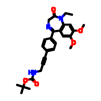 CCN1C(=O)CN=C(c2ccc(C#CCNC(=O)OC(C)(C)C)cc2)c2cc(OC)c(OC)cc21